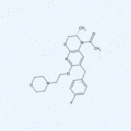 CC(=O)N1c2cc(Cc3ccc(F)cc3)c(OCCN3CCOCC3)nc2OC[C@@H]1C